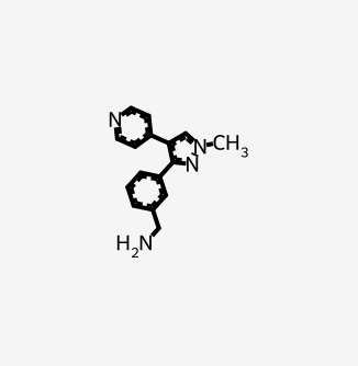 Cn1cc(-c2ccncc2)c(-c2cccc(CN)c2)n1